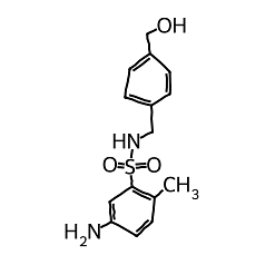 Cc1ccc(N)cc1S(=O)(=O)NCc1ccc(CO)cc1